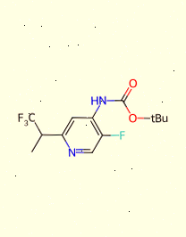 CC(c1cc(NC(=O)OC(C)(C)C)c(F)cn1)C(F)(F)F